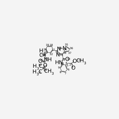 COC(=O)Cc1ccccc1NC(=O)c1nc(-c2cccc([C@@H](C)NC(=O)OC(C)(C)C)c2)nn2cccc12